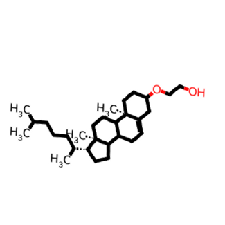 CC(C)CCCC(C)[C@H]1CCC2C3CC=C4CC(OCCO)CC[C@]4(C)C3CC[C@@]21C